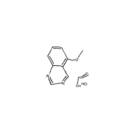 COc1cccc2ncncc12.Cl.O=CO